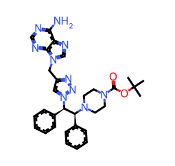 CC(C)(C)OC(=O)N1CCN([C@@H](c2ccccc2)[C@@H](c2ccccc2)n2cc(Cn3cnc4c(N)ncnc43)nn2)CC1